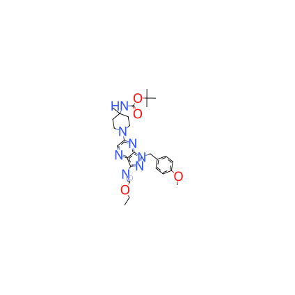 CCO/C=N/c1nn(Cc2ccc(OC)cc2)c2nc(N3CCC(C)(NC(=O)OC(C)(C)C)CC3)cnc12